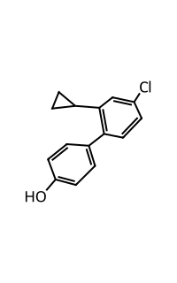 Oc1ccc(-c2ccc(Cl)cc2C2CC2)cc1